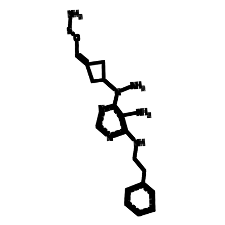 NSOC=C1CC(N(N)c2ncnc(NCCc3ccccc3)c2N)C1